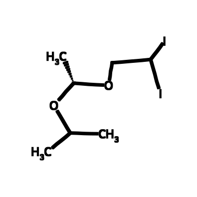 CC(C)O[C@H](C)OCC(I)I